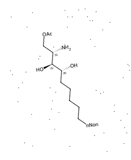 CCCCCCCCCCCCCC[C@@H](O)[C@@H](O)[C@@H](N)COC(C)=O